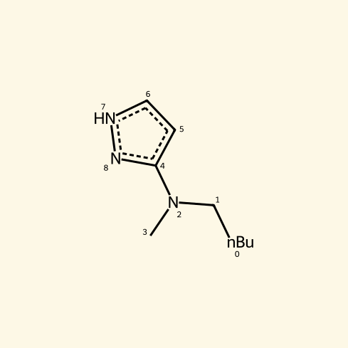 CCCCCN(C)c1cc[nH]n1